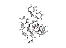 c1ccc(-c2nc(-c3cccc4c3oc3ccccc34)nc(-n3c4ccccc4c4ccc5c6ccccc6n(-c6ccc7ccccc7c6)c5c43)n2)cc1